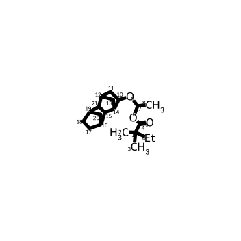 CCC(C)(C)C(=O)OC(C)OC1CC2CC1C1C3CCC(C3)C21